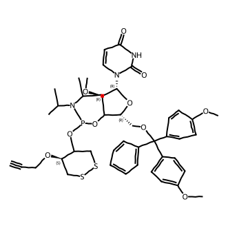 C#CCO[C@@H]1CSSCC1OP(OC1[C@@H](OC)[C@H](n2ccc(=O)[nH]c2=O)O[C@@H]1COC(c1ccccc1)(c1ccc(OC)cc1)c1ccc(OC)cc1)N(C(C)C)C(C)C